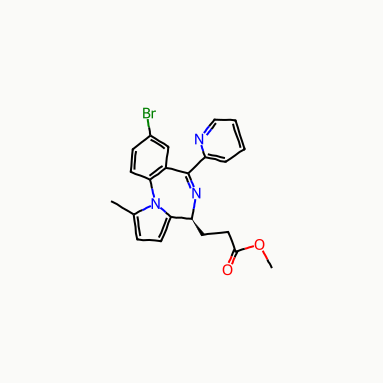 COC(=O)CC[C@@H]1N=C(c2ccccn2)c2cc(Br)ccc2-n2c(C)ccc21